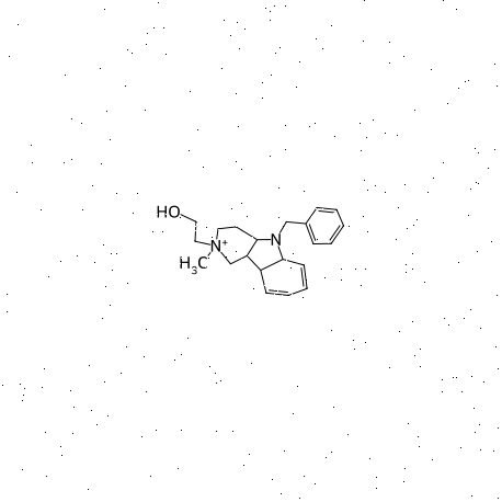 C[N+]1(CCO)CCC2C(C1)C1C=CC=CC1N2Cc1ccccc1